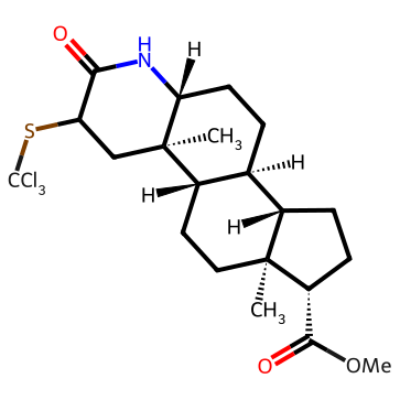 COC(=O)[C@H]1CC[C@H]2[C@@H]3CC[C@H]4NC(=O)C(SC(Cl)(Cl)Cl)C[C@]4(C)[C@H]3CC[C@]12C